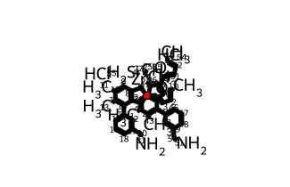 Cc1ccc(C2=Cc3c(cc(C)c(C)c3-c3cccc(CN)c3)[CH]2[Zr]([CH3])([CH3])(=[SiH2])[CH]2C(c3ccc(C)o3)=Cc3c2cc(C)c(C)c3-c2cccc(CN)c2)o1.Cl.Cl